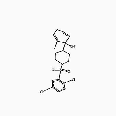 CC1=CCC=CC1(C#N)C1CCN(S(=O)(=O)c2cc(Cl)ccc2Cl)CC1